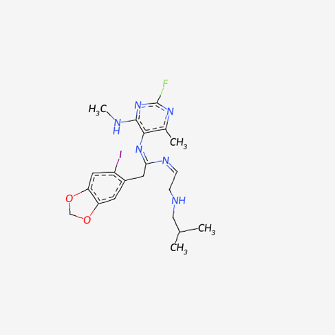 CNc1nc(F)nc(C)c1/N=C(Cc1cc2c(cc1I)OCO2)\N=C/CNCC(C)C